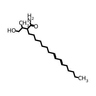 CCCCCC=CC=CCCCCCCCC(C(N)=O)C(C)CO